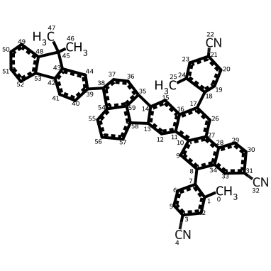 Cc1cc(C#N)ccc1-c1cc2c3cc4c(cc3c(-c3ccc(C#N)cc3C)cc2c2ccc(C#N)cc12)-c1ccc(-c2ccc3c(c2)C(C)(C)c2ccccc2-3)c2cccc-4c12